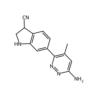 Cc1cc(N)nnc1-c1ccc2c(c1)NCC2C#N